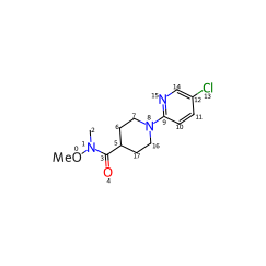 CON(C)C(=O)C1CCN(c2ccc(Cl)cn2)CC1